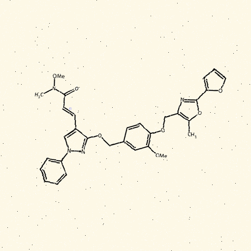 COc1cc(COc2nn(-c3ccccc3)cc2/C=C/C(=O)N(C)OC)ccc1OCc1nc(-c2ccco2)oc1C